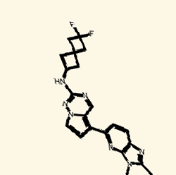 Cc1nc2ccc(-c3ccn4nc(NC5CC6(C5)CC(F)(F)C6)ncc34)nc2n1C